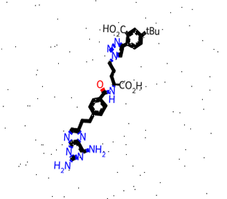 CC(C)(C)c1ccc(-c2cn(CCC[C@H](NC(=O)c3ccc(CCc4cnc5nc(N)nc(N)c5n4)cc3)C(=O)O)nn2)c(C(=O)O)c1